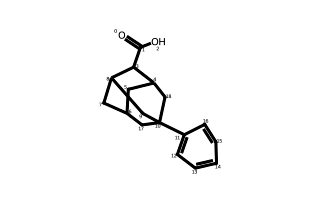 O=C(O)C1C2CC3CC1CC(c1ccccc1)(C3)C2